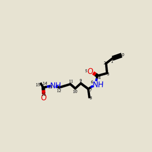 C#CCCC(=O)NC(C)CCCCNC(C)=O